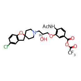 CC(=O)Nc1ccc(C(=O)OC(=O)C(F)(F)F)cc1OC[C@H](O)CN1CCC2(CC1)Cc1cc(Cl)ccc1O2